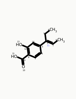 C/C=C(\CC)c1ccc(C(=O)O)c(O)c1